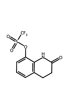 O=C1CCc2cccc(OS(=O)(=O)C(F)(F)F)c2N1